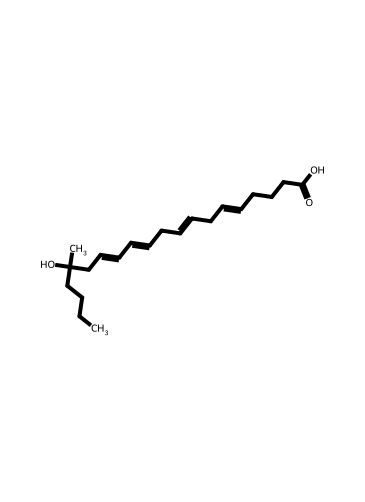 CCCCC(C)(O)CC=CC=CCC=CCC=CCCCC(=O)O